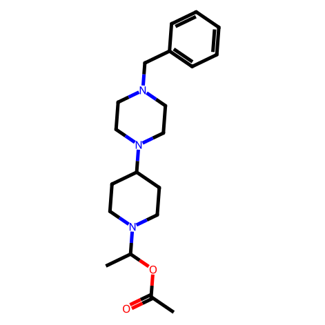 CC(=O)OC(C)N1CCC(N2CCN(Cc3ccccc3)CC2)CC1